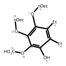 CCCCCCCCCCOc1c(CC)c(CC)c(O)c(OC(=O)O)c1OCCCCCCCCCC